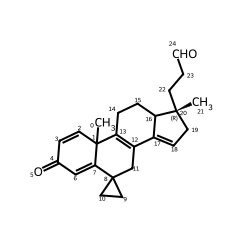 CC12C=CC(=O)C=C1C1(CC1)CC1=C2CCC2C1=CC[C@@]2(C)CCC=O